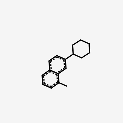 Cc1cccc2ccc(C3CCCCC3)cc12